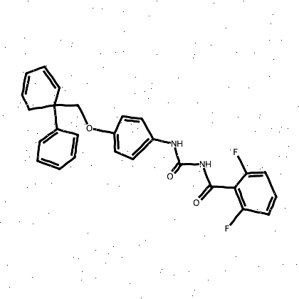 O=C(NC(=O)c1c(F)cccc1F)Nc1ccc(OCC2(c3ccccc3)C=CC=CC2)cc1